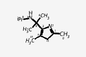 CC1=NC(C(C)(C)NC(C)C)=C(C)C1